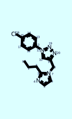 CCCc1nccn1Cc1cn(-c2ccc(Cl)cc2)nn1